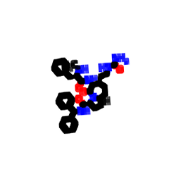 CN[C@H](Cc1ccccc1)C(=O)N[C@@H]1C(=O)N2[C@@H](CC[C@@H]1CCNC(N)=O)CC[C@H]2C(=O)NC(c1ccccc1)c1ccccc1